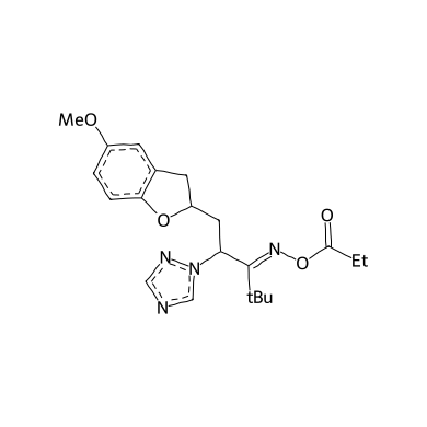 CCC(=O)ON=C(C(CC1Cc2cc(OC)ccc2O1)n1cncn1)C(C)(C)C